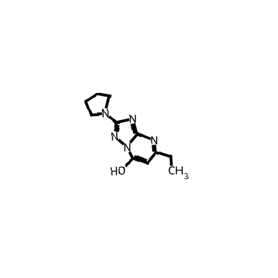 CCc1cc(O)n2nc(N3CCCC3)nc2n1